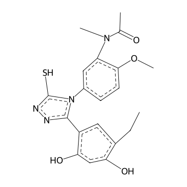 CCc1cc(-c2nnc(S)n2-c2ccc(OC)c(N(C)C(C)=O)c2)c(O)cc1O